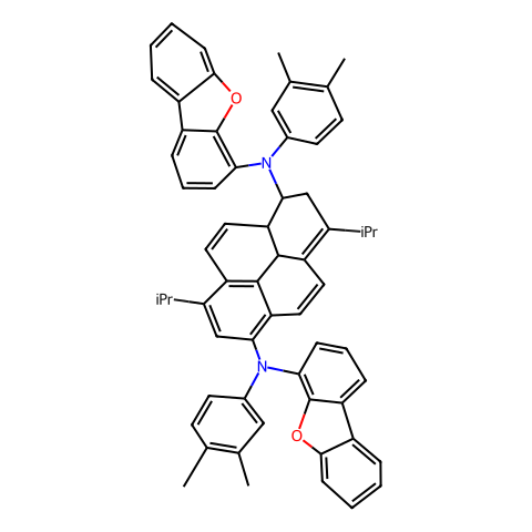 Cc1ccc(N(c2cc(C(C)C)c3c4c2C=CC2=C(C(C)C)CC(N(c5ccc(C)c(C)c5)c5cccc6c5oc5ccccc56)C(C=C3)C24)c2cccc3c2oc2ccccc23)cc1C